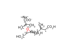 C=C(C)C(=O)[O-].C=C(CC(=O)O)C(=O)O.O=C(O)C1OC1C(=O)O.[Na+]